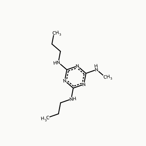 CCCNc1nc(NC)nc(NCCC)n1